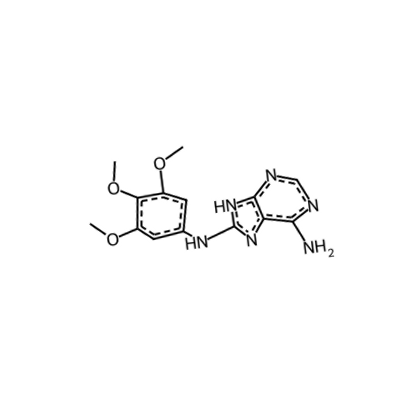 COc1cc(Nc2nc3c(N)ncnc3[nH]2)cc(OC)c1OC